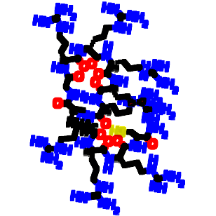 CC(=O)N[C@@H](C)C(=O)NCC(=O)N[C@H](CCCNC(=N)N)C(=O)N[C@H](CCCNC(=N)N)C(=O)N[C@H](CCCNC(=N)N)C(=O)N[C@H](CCCNC(=N)N)C(=O)N[C@H](CCCNC(=N)N)C(=O)N[C@H](CCCNC(=N)N)C(=O)N[C@H](CCCNC(=N)N)C(=O)N[C@H](CCCNC(=N)N)C(=O)NC(CS)C(N)=O